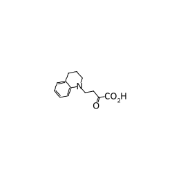 O=C(O)C(=O)CCN1CCCc2ccccc21